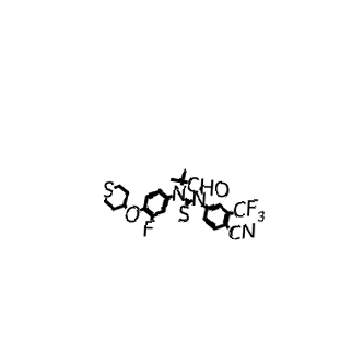 CN(C(=S)N(c1ccc(OC2CCSCC2)c(F)c1)C(C)(C)C=O)c1ccc(C#N)c(C(F)(F)F)c1